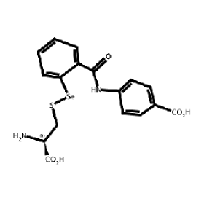 N[C@@H](CS[Se]c1ccccc1C(=O)Nc1ccc(C(=O)O)cc1)C(=O)O